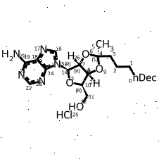 CCCCCCCCCCCCC[C@]1(C)O[C@@H]2[C@H](O1)[C@@H](CO)O[C@H]2n1cnc2c(N)ncnc21.Cl